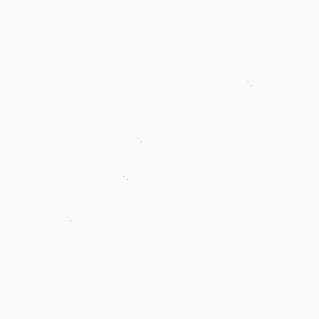 CN1CC2CN(c3ccc(-c4ccc5[nH]ccc5c4)cn3)CC2C1.O=C(O)/C=C/C(=O)O